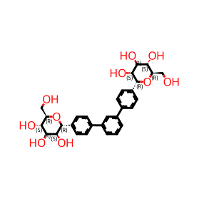 OC[C@H]1O[C@H](c2ccc(-c3cccc(-c4ccc([C@H]5O[C@H](CO)[C@@H](O)[C@H](O)[C@@H]5O)cc4)c3)cc2)[C@@H](O)[C@@H](O)[C@@H]1O